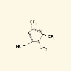 CN1C(CC#N)=CC(C(F)(F)F)=NC1C(F)(F)F